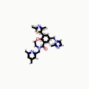 Cc1cc(C)nc(CN2CCOc3c(cc(Cn4ccnc4C)cc3-c3sc(C)nc3C)C2=O)c1